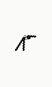 CCCCCCCCCCCCC(C)(CCCCCCCCCC)C(=O)Oc1ccc(CCCCC)cc1